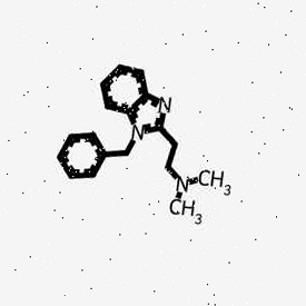 CN(C)CCc1nc2ccccc2n1Cc1ccccc1